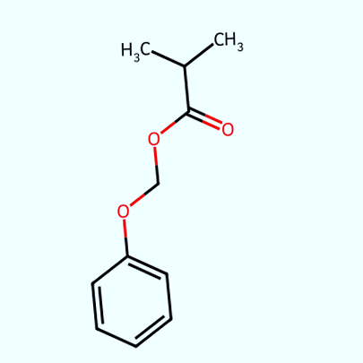 CC(C)C(=O)OCOc1ccccc1